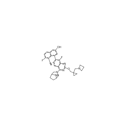 C#Cc1c(F)ccc2cc(O)cc(-c3c(C)cc4c(N5CC6CCC(C5)N6)nc(OCC5(CN6CCC6)CC5)nc4c3F)c12